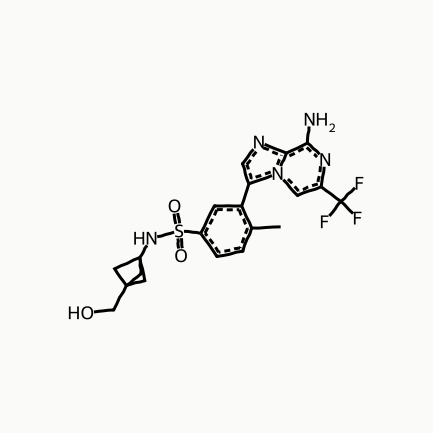 Cc1ccc(S(=O)(=O)NC23CC(CO)(C2)C3)cc1-c1cnc2c(N)nc(C(F)(F)F)cn12